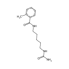 Cc1ccccc1C(=O)NCCCCCNC(N)=O